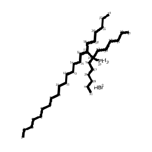 Br.CCCCCCCCCCCCCCCCC(CCCCCC)C(P)(CCCCCC)CCCCCC